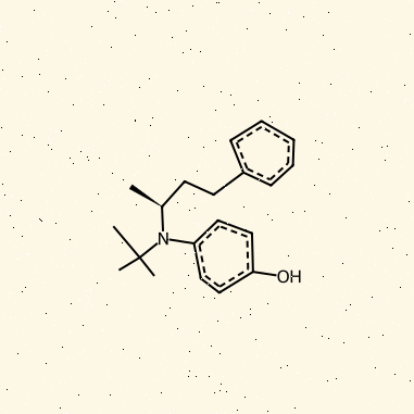 C[C@@H](CCc1ccccc1)N(c1ccc(O)cc1)C(C)(C)C